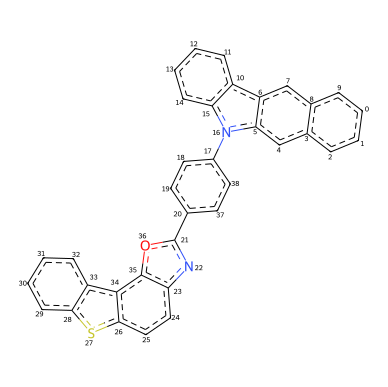 c1ccc2cc3c(cc2c1)c1ccccc1n3-c1ccc(-c2nc3ccc4sc5ccccc5c4c3o2)cc1